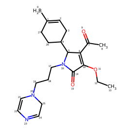 BC1=CCC(C2C(C(C)=O)=C(OCC)C(=O)N2CCCN2C=CN=CC2)CC1